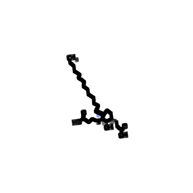 CCCCCCCCCCCCC/C=C1\CC[C@H](CCC(=O)O)[C@H](O)[C@H]1SCCC(=O)O